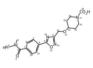 CCCN(C)C(=O)c1ccc(-c2nc(COC3CCN(C(=O)O)CC3)no2)cc1